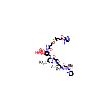 C=CC(C)(NC(=O)CCC(C)(C)SSCCCC(=O)Nc1cc(C[C@@H](CC(C)C(=O)O)NC(=O)c2csc([C@@H](C[C@H](C(C)C)N(C)C(=O)[C@@H](NC(=O)[C@H]3CCCCN3C)[C@@H](C)CC)OC(C)=O)n2)ccc1OP(=O)(O)O)N(C)I